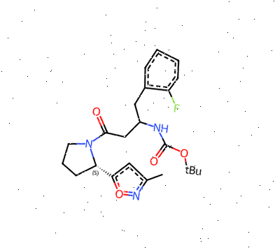 Cc1cc([C@@H]2CCCN2C(=O)CC(Cc2ccccc2F)NC(=O)OC(C)(C)C)on1